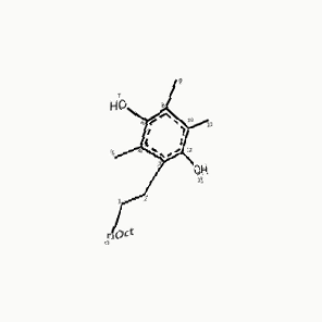 CCCCCCCCCCc1c(C)c(O)c(C)c(C)c1O